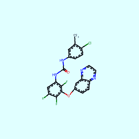 O=C(Nc1ccc(Cl)c(C(F)(F)F)c1)Nc1cc(F)c(F)c(Oc2ccc3nccnc3c2)c1F